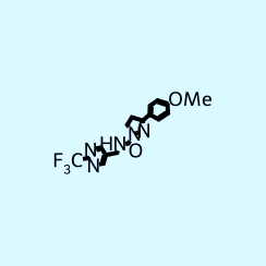 COc1ccc(C2=NN(C(=O)NCc3cnc(C(F)(F)F)nc3)CC2)cc1